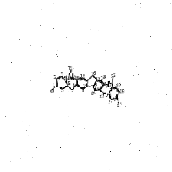 Cc1ccc2c(c1)Cc1cc3c(cc1N2C)Cc1cc2c(cc1-3)Cc1cc(C)ccc1N2C